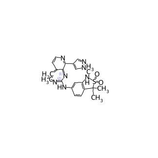 C=C1C=CN=C(c2cnn(C)c2)/C1=N/C(=N\C)Nc1ccc2c(c1)NS(=O)(=O)C2(C)C